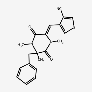 CN1C(=O)C(C)(Cc2ccccc2)N(C)C(=O)/C1=C/c1cscc1C#N